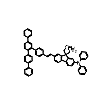 CCC1(CC)c2cc(/C=C/c3ccc(-c4cc(-c5ccccc5)ccc4-c4ccc(-c5ccccc5)cc4)cc3)ccc2-c2ccc(N(c3ccccc3)c3ccccc3)cc21